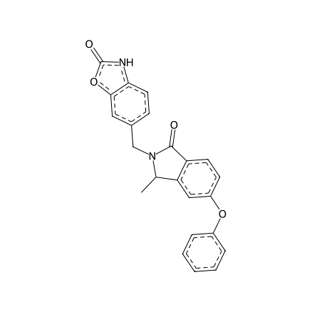 CC1c2cc(Oc3ccccc3)ccc2C(=O)N1Cc1ccc2[nH]c(=O)oc2c1